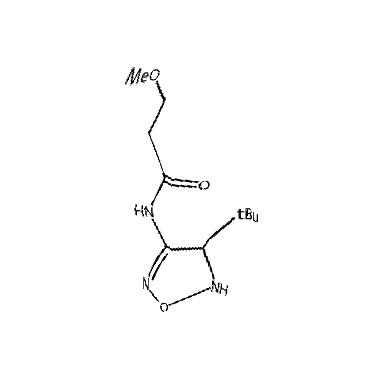 COCCC(=O)NC1=NONC1C(C)(C)C